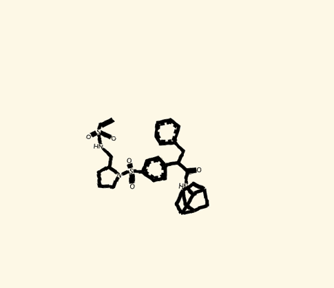 C=CS(=O)(=O)NCC1CCCN1S(=O)(=O)c1ccc(C(Cc2ccccc2)C(=O)NC2C3CC4CC(C3)C2C4)cc1